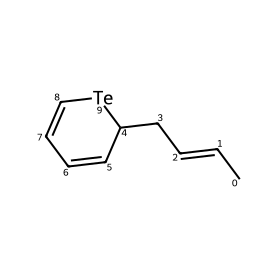 CC=CCC1C=CC=C[Te]1